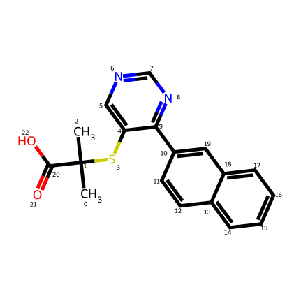 CC(C)(Sc1cncnc1-c1ccc2ccccc2c1)C(=O)O